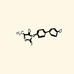 CC1SC(=S)N(c2ccc(-c3ccc(Cl)cc3)cc2)C1=O